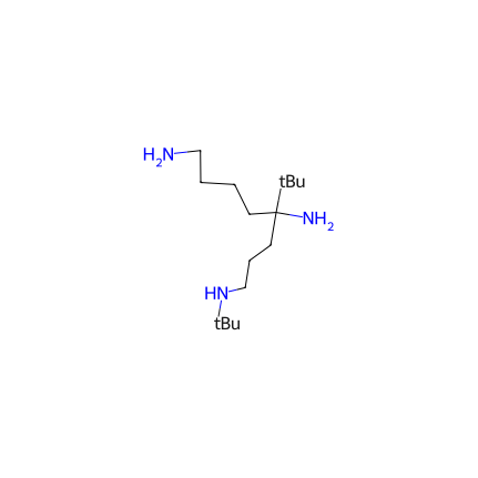 CC(C)(C)NCCCC(N)(CCCCN)C(C)(C)C